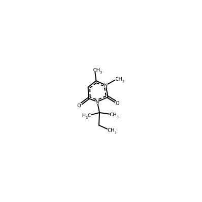 CCC(C)(C)n1c(=O)cc(C)n(C)c1=O